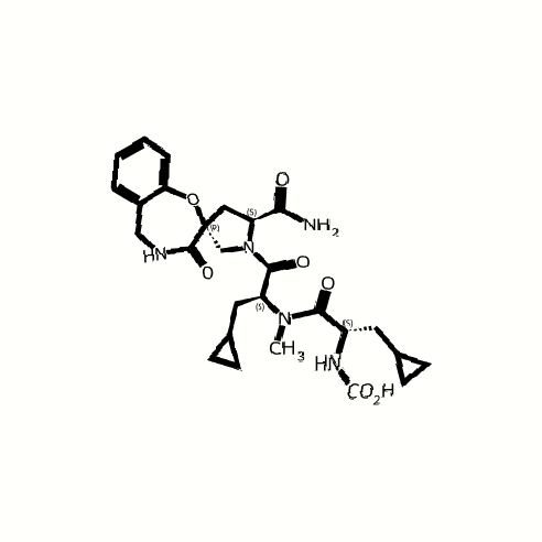 CN(C(=O)[C@H](CC1CC1)NC(=O)O)[C@@H](CC1CC1)C(=O)N1C[C@@]2(C[C@H]1C(N)=O)Oc1ccccc1CNC2=O